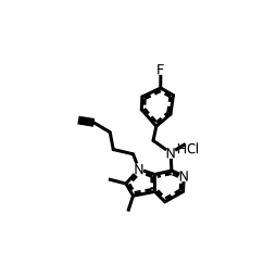 C#CCCCn1c(C)c(C)c2ccnc(N(C)Cc3ccc(F)cc3)c21.Cl